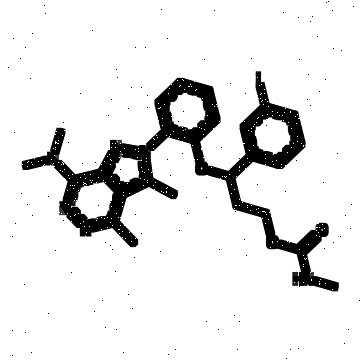 CNC(=O)OCCC(Oc1ccccc1-n1nc2c(N(C)C)nnc(C)c2c1C)c1cccc(I)c1